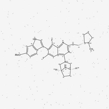 COc1ccc2c(-c3c(F)cc4c(N5C[C@H]6CC[C@@H](C5)N6)nc(OC[C@@H]5CCCN5C)nc4c3F)c[nH]c2c1